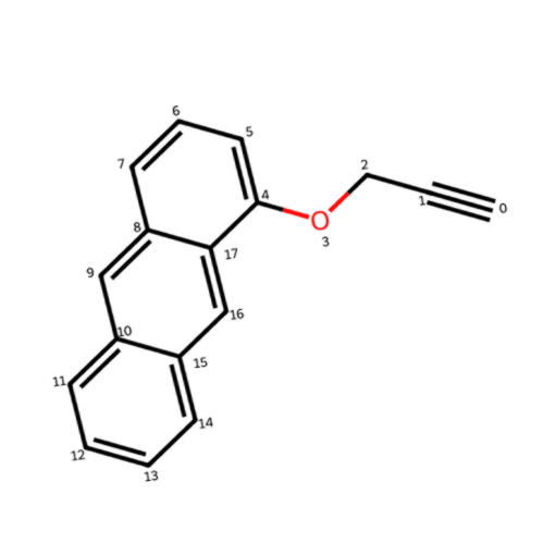 C#CCOc1cccc2cc3ccccc3cc12